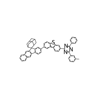 Cc1cccc(-c2nc(-c3ccccc3)nc(-c3ccc4c(c3)sc3ccc(-c5ccc6c(c5)C5(c7cc8ccccc8cc7-6)C6CC7CC(C6)CC5C7)cc34)n2)c1